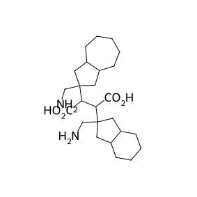 NCC1(C(C(=O)O)C(C(=O)O)C2(CN)CC3CCCCC3C2)CC2CCCCCC2C1